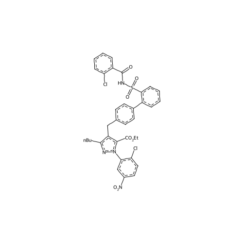 CCCCc1nn(-c2cc([N+](=O)[O-])ccc2Cl)c(C(=O)OCC)c1Cc1ccc(-c2ccccc2S(=O)(=O)NC(=O)c2ccccc2Cl)cc1